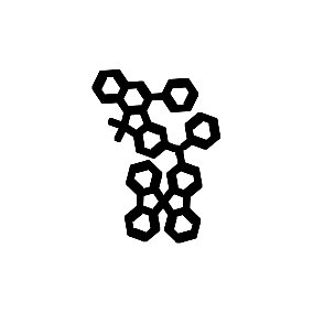 CC1(C)c2ccc(N(c3ccccc3)c3ccc4c(c3)C3(c5ccccc5-c5ccccc53)c3ccccc3-4)cc2-c2c(-c3ccccc3)cc3ccccc3c21